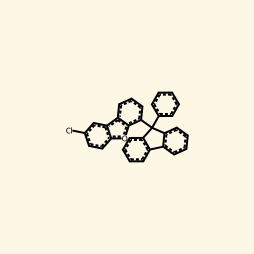 Clc1ccc2oc3c(C4(c5ccccc5)c5ccccc5-c5ccccc54)cccc3c2c1